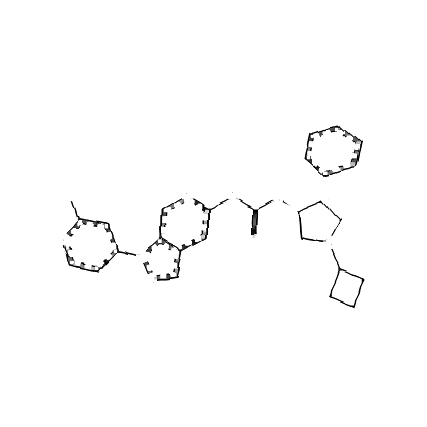 Cc1cc(-n2ncc3cc(NC(=O)N[C@@H]4CN(C5CCC5)C[C@H]4c4ccccc4)ncc32)ccn1